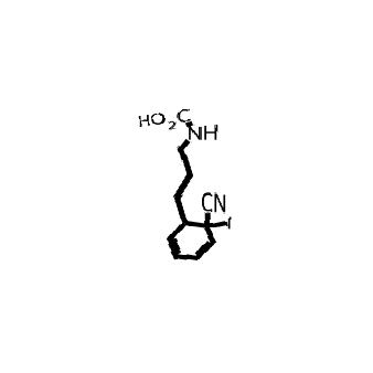 N#CC1(I)C=CC=CC1CCCNC(=O)O